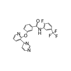 O=C(Nc1cc(C(F)(F)F)ccc1F)c1cccc(Oc2ncccc2-c2ccncn2)c1